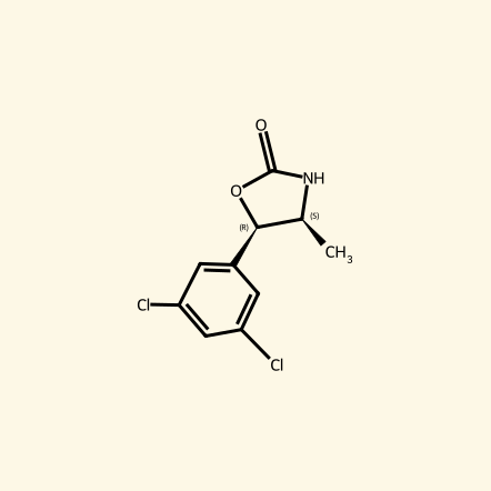 C[C@@H]1NC(=O)O[C@@H]1c1cc(Cl)cc(Cl)c1